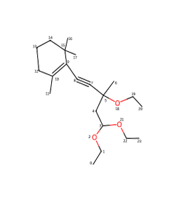 CCOC(CC(C)(C#CC1=C(C)CCCC1(C)C)OCC)OCC